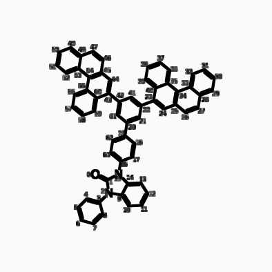 O=c1n(-c2ccccc2)c2ccccc2n1-c1ccc(-c2cc(-c3cc4ccc5ccccc5c4c4ccccc34)cc(-c3cc4ccc5ccccc5c4c4ccccc34)c2)cc1